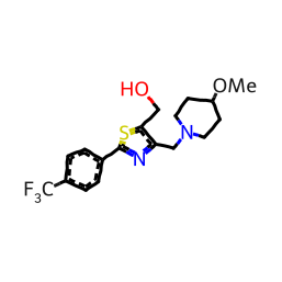 COC1CCN(Cc2nc(-c3ccc(C(F)(F)F)cc3)sc2CO)CC1